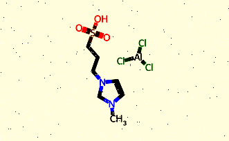 CN1C=CN(CCCS(=O)(=O)O)C1.[Cl][Al]([Cl])[Cl]